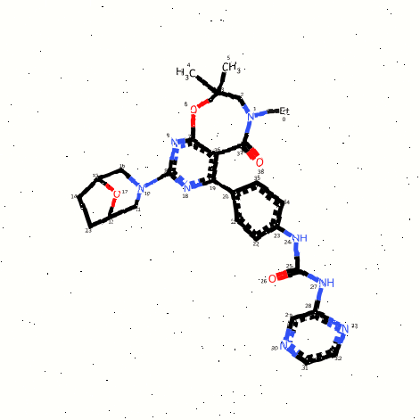 CCN1CC(C)(C)Oc2nc(N3CC4CCC(C3)O4)nc(-c3ccc(NC(=O)Nc4cnccn4)cc3)c2C1=O